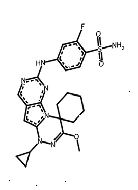 COC1=NN(C2CC2)c2cc3cnc(Nc4ccc(S(N)(=O)=O)c(F)c4)nc3n2C12CCCCC2